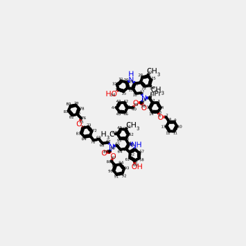 CCCC(c1ccc(OCc2ccccc2)cc1)N(CCc1c(-c2cc(C)cc(C)c2)[nH]c2ccc(O)cc12)C(=O)OCc1ccccc1.Cc1cc(C)cc(-c2[nH]c3ccc(O)cc3c2CCN(CCCCc2ccc(OCc3ccccc3)cc2)C(=O)OCc2ccccc2)c1